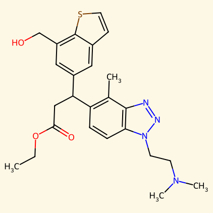 CCOC(=O)CC(c1cc(CO)c2sccc2c1)c1ccc2c(nnn2CCN(C)C)c1C